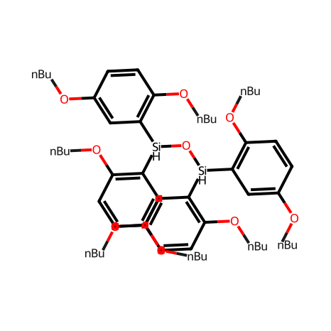 CCCCOc1ccc(OCCCC)c([SiH](O[SiH](c2cc(OCCCC)ccc2OCCCC)c2cc(OCCCC)ccc2OCCCC)c2cc(OCCCC)ccc2OCCCC)c1